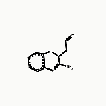 C=CCC1Oc2ccccc2N=C1N